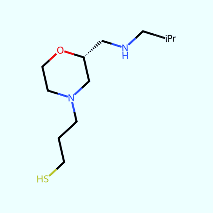 CC(C)CNC[C@@H]1CN(CCCS)CCO1